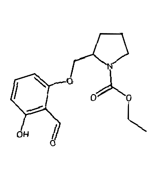 CCOC(=O)N1CCCC1COc1cccc(O)c1C=O